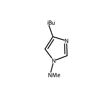 CCC(C)c1cn(NC)cn1